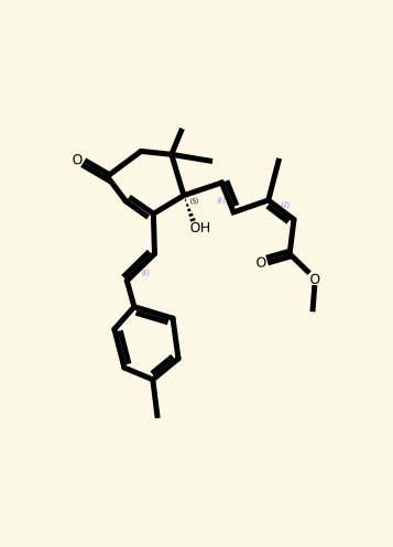 COC(=O)/C=C(C)\C=C\[C@@]1(O)C(/C=C/c2ccc(C)cc2)=CC(=O)CC1(C)C